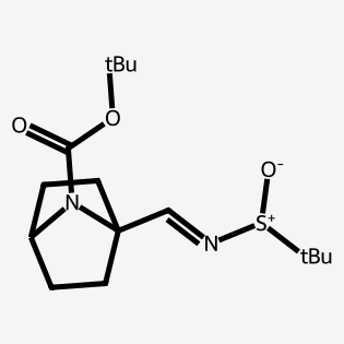 CC(C)(C)OC(=O)N1C2CCC1(C=N[S+]([O-])C(C)(C)C)CC2